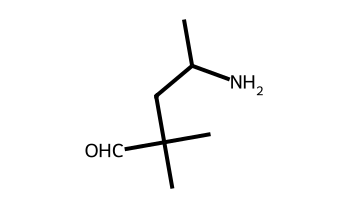 CC(N)CC(C)(C)C=O